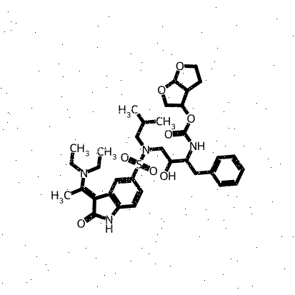 CCN(CC)C(C)=C1C(=O)Nc2ccc(S(=O)(=O)N(CC(C)C)CC(O)C(Cc3ccccc3)NC(=O)OC3COC4OCCC34)cc21